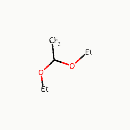 CCOC(OCC)C(F)(F)F